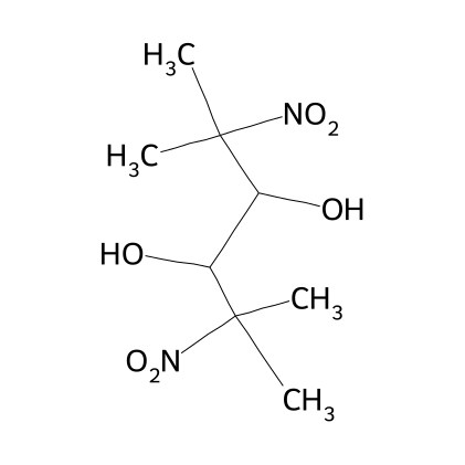 CC(C)(C(O)C(O)C(C)(C)[N+](=O)[O-])[N+](=O)[O-]